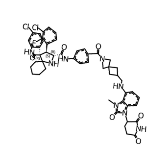 Cn1c(=O)n(C2CCC(=O)NC2=O)c2cccc(NCC3CC4(C3)CN(C(=O)c3ccc(NC(=O)[C@@H]5NC6(CCCCC6)[C@@]6(C(=O)Nc7cc(Cl)ccc76)[C@H]5c5cccc(Cl)c5F)cc3)C4)c21